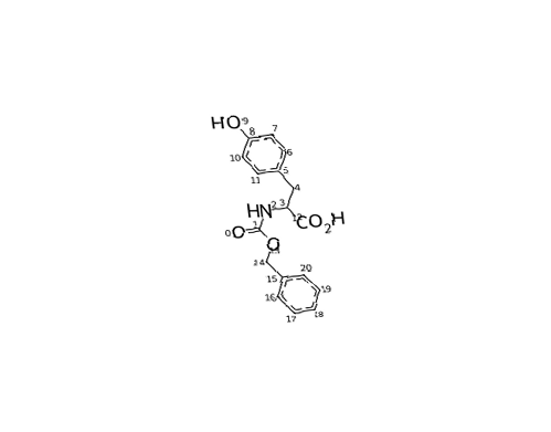 O=C(NC(Cc1ccc(O)cc1)C(=O)O)OCc1ccccc1